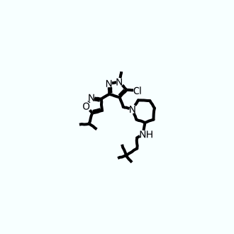 CC(C)c1cc(-c2nn(C)c(Cl)c2CN2CCCCC(NCCC(C)(C)C)C2)no1